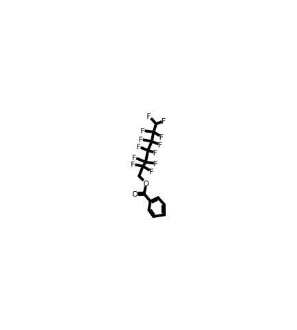 O=C(OCC(F)(F)C(F)(F)C(F)(F)C(F)(F)C(F)(F)C(F)F)c1ccccc1